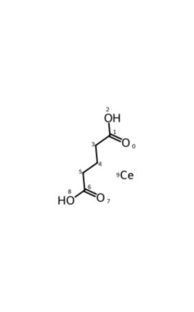 O=C(O)CCCC(=O)O.[Ce]